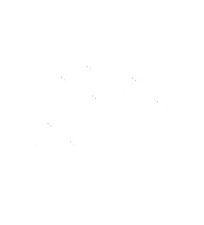 Cc1ccc(C(=N)c2cnc3[nH]cc(C(=O)NC4(C#N)CC4)c3n2)c(N)c1